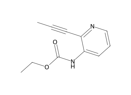 CC#Cc1ncccc1NC(=O)OCC